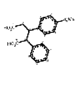 COc1ccc(C(CC(=O)O)C(C(=O)O)c2ccccc2)cc1